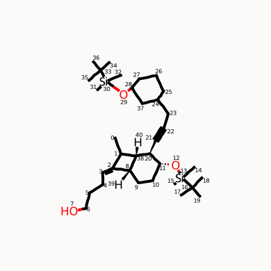 CC1/C(=C/CCCO)[C@H]2CC[C@@H](O[Si](C)(C)C(C)(C)C)[C@H](C#CCC3CCCC(O[Si](C)(C)C(C)(C)C)C3)[C@@H]12